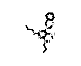 CCCNc1nc(SCCC)nc(N(C=O)Cc2ccccc2)c1NC